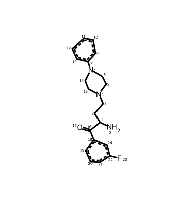 NC(CCN1CCN(c2ccccc2)CC1)C(=O)c1cccc(F)c1